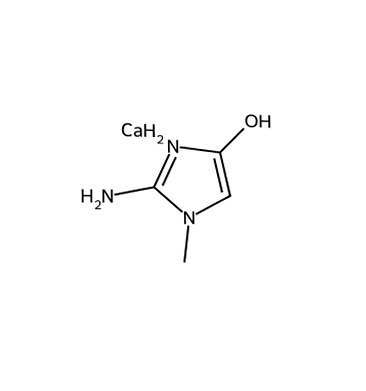 Cn1cc(O)nc1N.[CaH2]